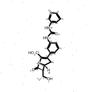 C[C@@H](O)[C@H]1C(=O)N2C(C(=O)O)=C(c3cccc(NC(=O)Nc4cccnc4)c3)C[C@H]12